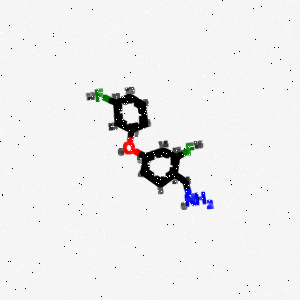 NCc1ccc(Oc2cccc(F)c2)cc1F